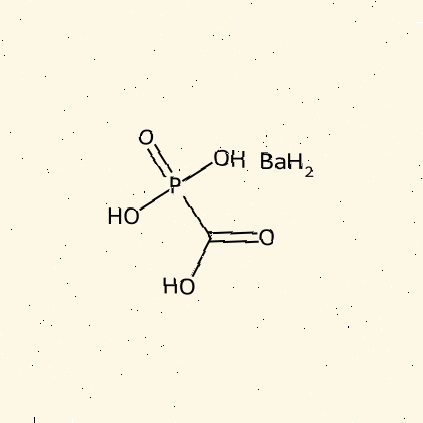 O=C(O)P(=O)(O)O.[BaH2]